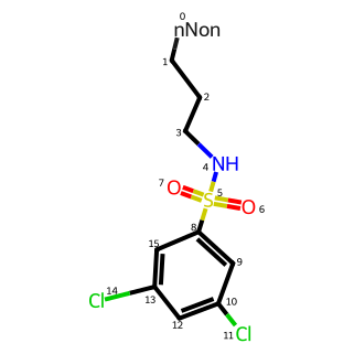 CCCCCCCCCCCCNS(=O)(=O)c1cc(Cl)cc(Cl)c1